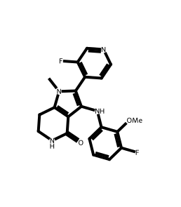 COc1c(F)cccc1Nc1c2c(n(C)c1-c1ccncc1F)CCNC2=O